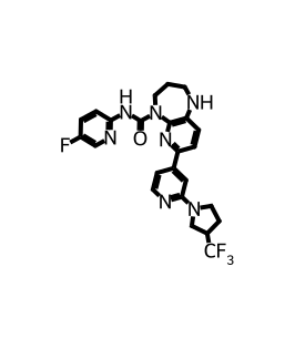 O=C(Nc1ccc(F)cn1)N1CCCNc2ccc(-c3ccnc(N4CCC(C(F)(F)F)C4)c3)nc21